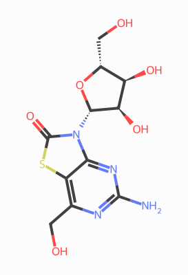 Nc1nc(CO)c2sc(=O)n([C@@H]3O[C@H](CO)[C@@H](O)[C@H]3O)c2n1